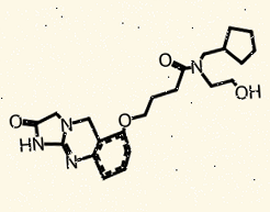 O=C1CN2Cc3c(cccc3OCCCC(=O)N(CCO)CC3CCCC3)N=C2N1